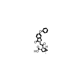 C[C@@]12C[C@@H]1N(C(=O)CN1Cc3cc(Oc4ccccc4)ccc3C1=O)[C@H](C(=O)O)C2